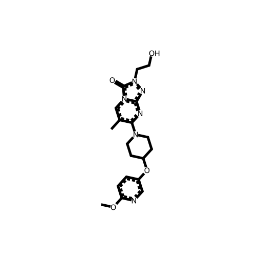 COc1ccc(OC2CCN(c3nc4nn(CCO)c(=O)n4cc3C)CC2)cn1